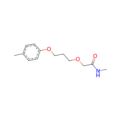 CNC(=O)COCCCOc1ccc(C)cc1